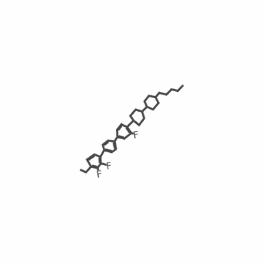 CCCCCC1CCC(C2CCC(c3ccc(-c4ccc(-c5ccc(CC)c(F)c5F)cc4)cc3F)CC2)CC1